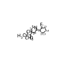 CC(C)(C)C(=O)c1ccnc(-c2ccccc2F)c1